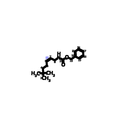 CC(C)(C)CC/C=C\CNC(=O)OCc1ccccc1